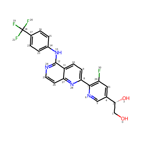 OC[C@@H](O)c1cnc(-c2ccc3c(Nc4ccc(C(F)(F)F)cc4)nccc3n2)c(F)c1